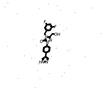 O=c1n(-c2ccc(-c3cn[nH]c3)cc2)nc(CO)n1Cc1cc(F)cc(F)c1